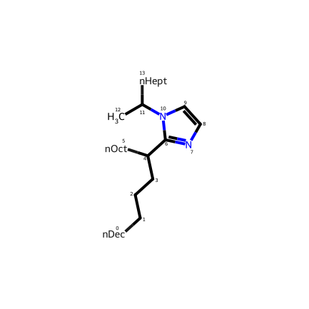 CCCCCCCCCCCCCC(CCCCCCCC)c1nccn1C(C)CCCCCCC